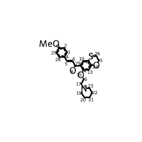 COc1ccc(C=CC(=O)c2cc3c(cc2OCCN2CCCCC2)OCCS3)cc1